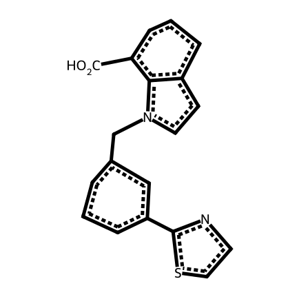 O=C(O)c1cccc2ccn(Cc3cccc(-c4nccs4)c3)c12